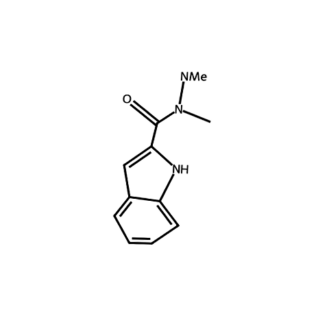 CNN(C)C(=O)c1cc2ccccc2[nH]1